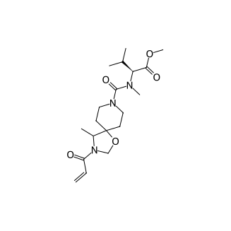 C=CC(=O)N1COC2(CCN(C(=O)N(C)[C@H](C(=O)OC)C(C)C)CC2)C1C